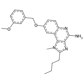 CCCCc1nc2c(N)nc3ccc(OCc4cccc(OC)c4)cc3c2n1C